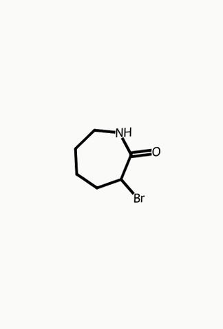 O=C1NCCCCC1Br